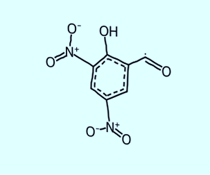 O=[C]c1cc([N+](=O)[O-])cc([N+](=O)[O-])c1O